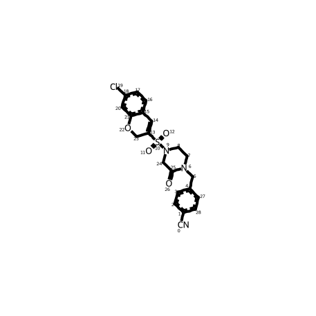 N#Cc1ccc(CN2CCN(S(=O)(=O)C3=Cc4ccc(Cl)cc4OC3)CC2=O)cc1